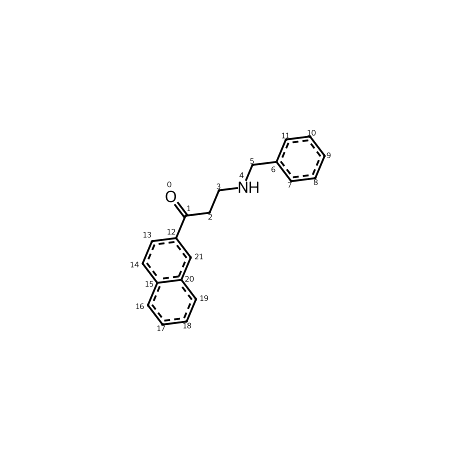 O=C(CCNCc1ccccc1)c1ccc2ccccc2c1